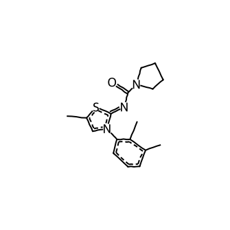 Cc1cn(-c2cccc(C)c2C)c(=NC(=O)N2CCCC2)s1